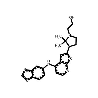 CC1(C)C(c2cc3c(Nc4ccc5scnc5c4)ccnc3s2)CCN1CCO